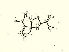 C[C@@H](N)C(=O)C1(CO)NC(C(=O)O)CS1